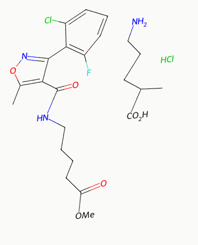 CC(CCCN)C(=O)O.COC(=O)CCCCNC(=O)c1c(-c2c(F)cccc2Cl)noc1C.Cl